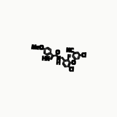 COc1ccc2c(C(=O)NCc3ccc(Cl)c(Oc4cc(Cl)cc(C#N)c4)c3F)c[nH]c2c1